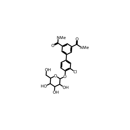 CNC(=O)c1cc(C(=O)NC)cc(-c2ccc(OC3OC(CO)C(O)C(O)C3O)c(Cl)c2)c1